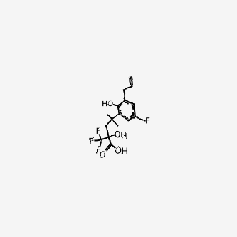 C=CCc1cc(F)cc(C(C)(C)CC(O)(C(=O)O)C(F)(F)F)c1O